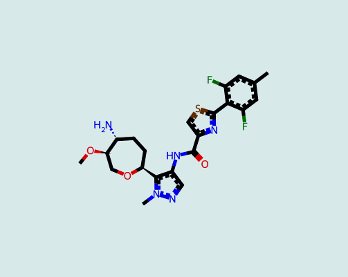 CO[C@@H]1CO[C@H](c2c(NC(=O)c3csc(-c4c(F)cc(C)cc4F)n3)cnn2C)CC[C@H]1N